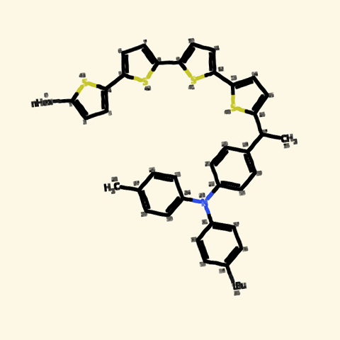 CCCCCCc1ccc(-c2ccc(-c3ccc(-c4ccc(C(C)c5ccc(N(c6ccc(C)cc6)c6ccc(C(C)(C)C)cc6)cc5)s4)s3)s2)s1